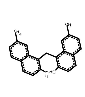 Cc1ccc2ccc(O)c(Cc3c(O)ccc4ccc(O)cc34)c2c1